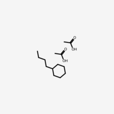 CC(=O)O.CC(=O)O.CCCCC1CCCCC1